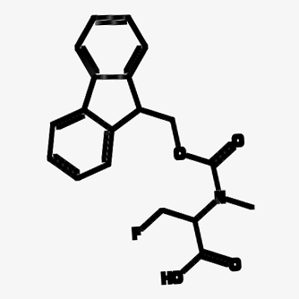 CN(C(=O)OCC1c2ccccc2-c2ccccc21)C(CF)C(=O)O